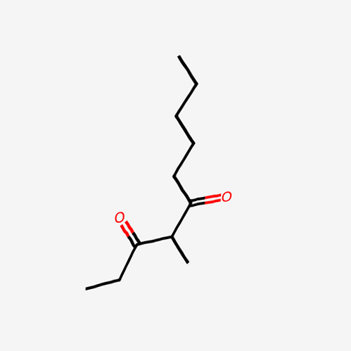 CCCCCC(=O)C(C)C(=O)CC